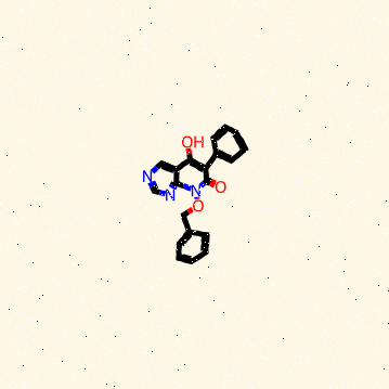 O=c1c(-c2ccccc2)c(O)c2cncnc2n1OCc1ccccc1